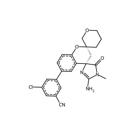 CN1C(=O)[C@@]2(C[C@]3(CCCOC3)Oc3ccc(-c4cc(Cl)cc(C#N)c4)cc32)N=C1N